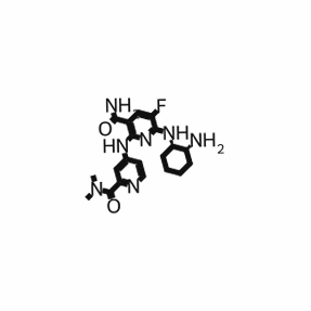 CN(C)C(=O)c1cc(Nc2nc(N[C@@H]3CCCC[C@@H]3N)c(F)cc2C(N)=O)ccn1